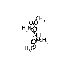 CCOC(=O)c1ccc(NCc2ccc(OC)cc2OC)nc1N